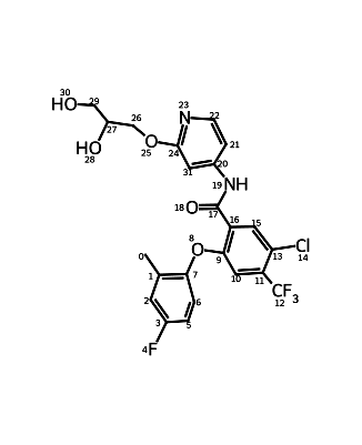 Cc1cc(F)ccc1Oc1cc(C(F)(F)F)c(Cl)cc1C(=O)Nc1ccnc(OCC(O)CO)c1